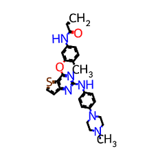 C=CC(=O)Nc1ccc(C)c(Oc2nc(Nc3ccc(N4CCN(C)CC4)cc3)nc3ccsc23)c1